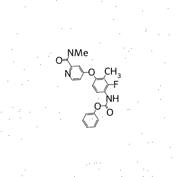 CNC(=O)c1cc(Oc2ccc(NC(=O)Oc3ccccc3)c(F)c2C)ccn1